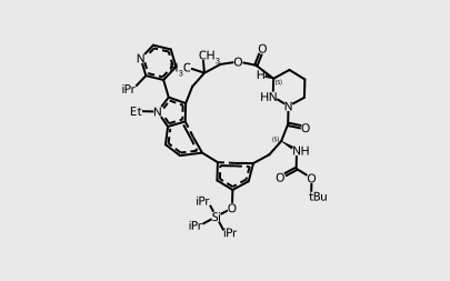 CCn1c(-c2cccnc2C(C)C)c2c3cc(ccc31)-c1cc(cc(O[Si](C(C)C)(C(C)C)C(C)C)c1)C[C@H](NC(=O)OC(C)(C)C)C(=O)N1CCC[C@H](N1)C(=O)OCC(C)(C)C2